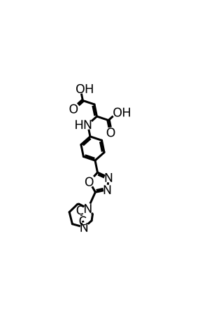 O=C(O)/C=C(\Nc1ccc(-c2nnc(N3CCN4CCC3CC4)o2)cc1)C(=O)O